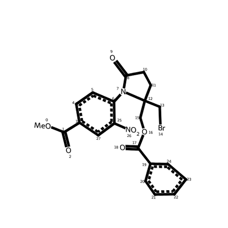 COC(=O)c1ccc(N2C(=O)CCC2(CBr)COC(=O)c2ccccc2)c([N+](=O)[O-])c1